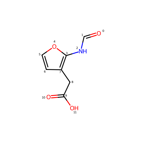 O=CNc1occc1CC(=O)O